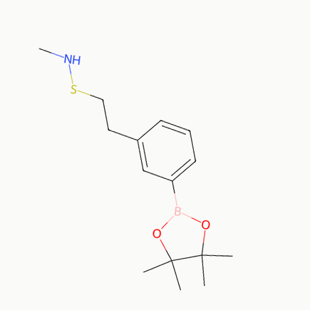 CNSCCc1cccc(B2OC(C)(C)C(C)(C)O2)c1